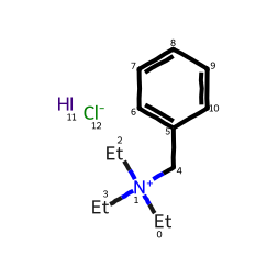 CC[N+](CC)(CC)Cc1ccccc1.I.[Cl-]